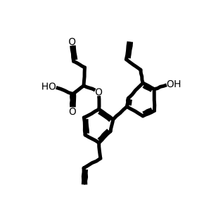 C=CCc1ccc(OC(CC=O)C(=O)O)c(-c2ccc(O)c(CC=C)c2)c1